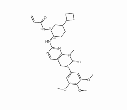 C=CC(=O)N[C@H]1CC(C2CCC2)CC[C@H]1Nc1ncc2c(n1)N(C)C(=O)N(c1cc(OC)c(OC)c(OC)c1)C2